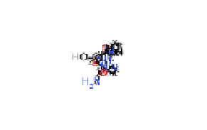 NCCCC[C@@H](NC(=O)c1cccnc1)C(=O)N[C@H](CCC(=O)N1[C@H](C(=O)O)C[C@@H]2CCCC[C@@H]21)C(=O)O